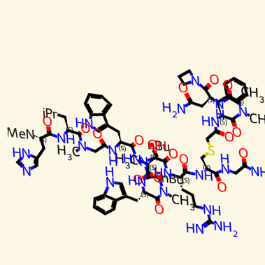 CCCC[C@@H](C(=O)N(C)[C@@H](CCCC)C(=O)N[C@@H](CCCNC(=N)N)C(=O)N[C@@H](CSCC(=O)N[C@@H](Cc1ccccc1)C(=O)N(C)[C@@H](C)C(=O)N[C@@H](CC(N)=O)C(=O)N1CCC1)C(=O)NCC(N)=O)N(C)C(=O)[C@H](Cc1c[nH]c2ccccc12)NC(=O)[C@H](CO)NC(=O)[C@H](Cc1c[nH]c2ccccc12)NC(=O)CN(C)C(=O)[C@H](CC(C)C)NC(=O)[C@H](Cc1cnc[nH]1)NC